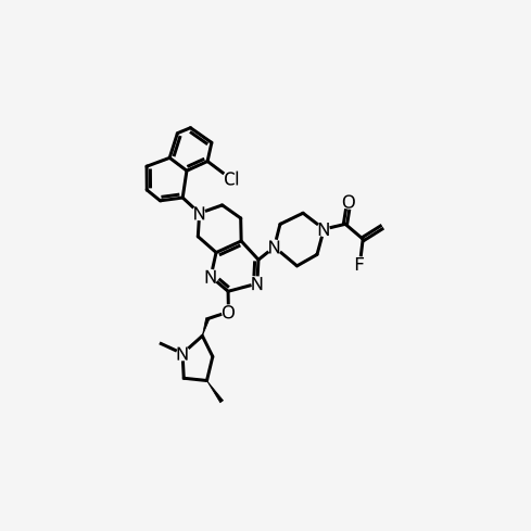 C=C(F)C(=O)N1CCN(c2nc(OC[C@H]3C[C@@H](C)CN3C)nc3c2CCN(c2cccc4cccc(Cl)c24)C3)CC1